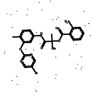 CCCC(C)(OC(=N)c1ccccc1[N+](=O)[O-])C(=O)Nc1ccc(C)c(Oc2ncc(Br)cn2)c1